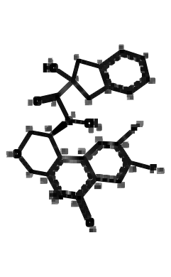 CN(C(=O)C1(O)Cc2ccccc2C1)[C@@H]1COCc2[nH]c(=O)c3cc(F)c(F)cc3c21